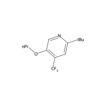 CCCOc1cnc(C(C)(C)C)cc1C(F)(F)F